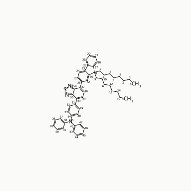 CCCCCCCCC1(CCCCCCCC)c2ccccc2-c2ccc(-c3ccc(-c4ccc(N(c5ccccc5)c5ccccc5)cc4)c4nsnc34)cc21